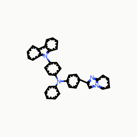 c1ccc(N(c2ccc(-c3cn4ccccc4n3)cc2)c2ccc(-n3c4ccccc4c4ccccc43)cc2)cc1